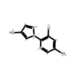 Nc1cnc(-n2cc(O)cn2)c(Cl)c1